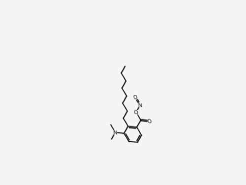 CCCCCCCCc1c(C(=O)ON=O)cccc1N(C)C